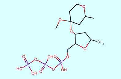 BC1CC(OC2(OC)CCOC(C)C2)C(COP(=O)(O)OP(=O)(O)OP(=O)(O)O)O1